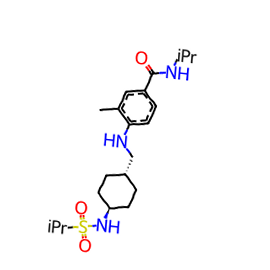 Cc1cc(C(=O)NC(C)C)ccc1NC[C@H]1CC[C@H](NS(=O)(=O)C(C)C)CC1